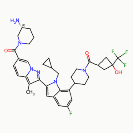 Cc1c(-c2cc3cc(F)cc(C4CCN(C(=O)C5CC(O)(C(F)(F)F)C5)CC4)c3n2CC2CC2)nn2cc(C(=O)N3CCC[C@@H](N)C3)ccc12